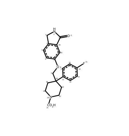 O=C1NCc2ccc(OCC3(c4ccc(F)cc4)CCN(C(=O)O)CC3)cc21